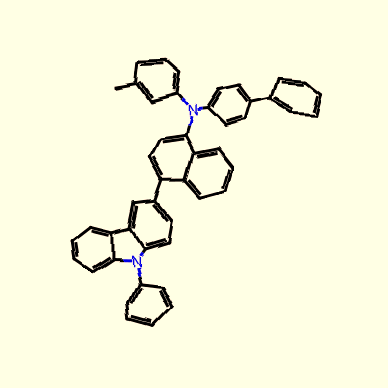 Cc1cccc(N(c2ccc(-c3ccccc3)cc2)c2ccc(-c3ccc4c(c3)c3ccccc3n4-c3ccccc3)c3ccccc23)c1